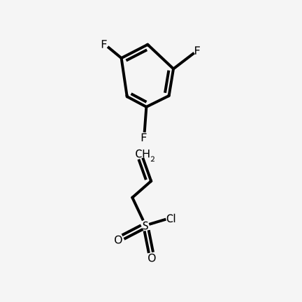 C=CCS(=O)(=O)Cl.Fc1cc(F)cc(F)c1